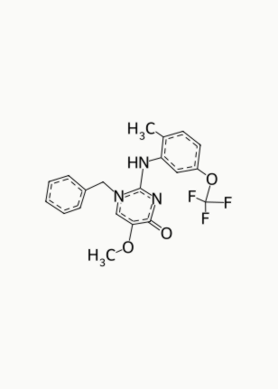 COc1cn(Cc2ccccc2)c(Nc2cc(OC(F)(F)F)ccc2C)nc1=O